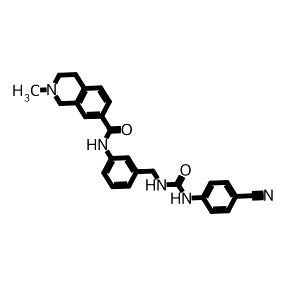 CN1CCc2ccc(C(=O)Nc3cccc(CNC(=O)Nc4ccc(C#N)cc4)c3)cc2C1